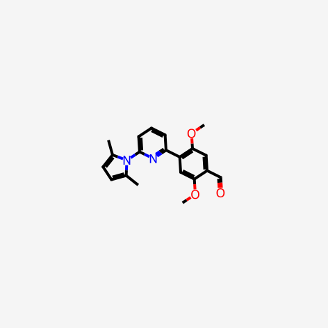 COc1cc(-c2cccc(-n3c(C)ccc3C)n2)c(OC)cc1C=O